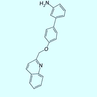 Nc1cccc(-c2ccc(OCc3ccc4ccccc4n3)cc2)c1